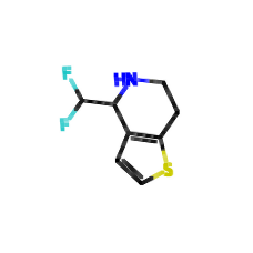 FC(F)C1NCCc2sccc21